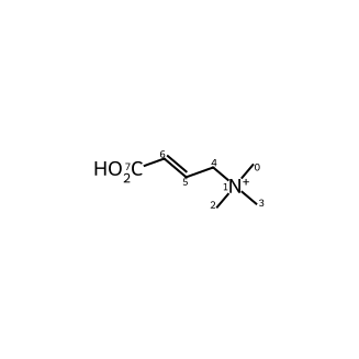 C[N+](C)(C)CC=CC(=O)O